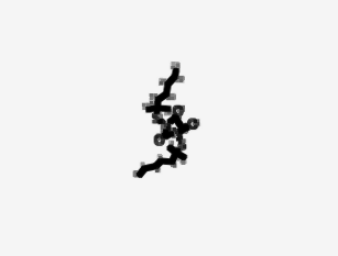 CCCCCC(C)(C)SN1C(=O)C(=O)N(SC(C)(C)CCCCC)C1=O